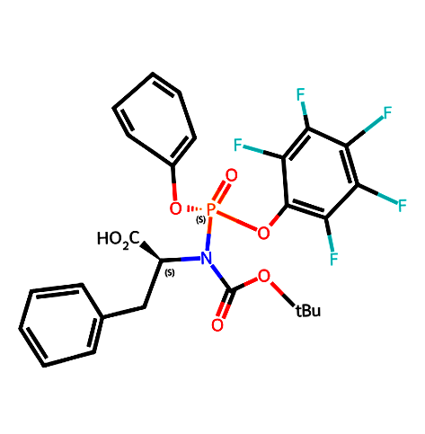 CC(C)(C)OC(=O)N([C@@H](Cc1ccccc1)C(=O)O)[P@](=O)(Oc1ccccc1)Oc1c(F)c(F)c(F)c(F)c1F